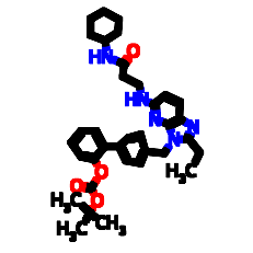 CCc1nc2ccc(NCCC(=O)NC3CCCCC3)nc2n1Cc1ccc(-c2ccccc2OC(=O)OC(C)(C)C)cc1